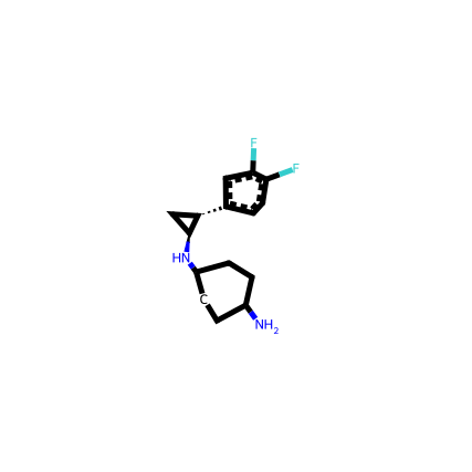 NC1CCC(N[C@H]2C[C@@H]2c2ccc(F)c(F)c2)CC1